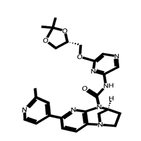 Cc1cc(-c2ccc3c(n2)N(C(=O)Nc2cncc(OC[C@@H]4COC(C)(C)O4)n2)[C@H]2CCN3C2)ccn1